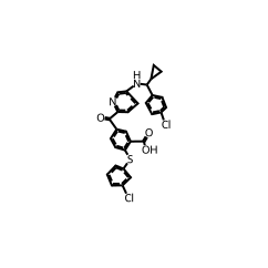 O=C(c1ccc(Sc2cccc(Cl)c2)c(C(=O)O)c1)c1ccc(NC(c2ccc(Cl)cc2)C2CC2)cn1